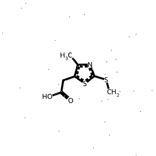 [CH2]Sc1nc(C)c(CC(=O)O)s1